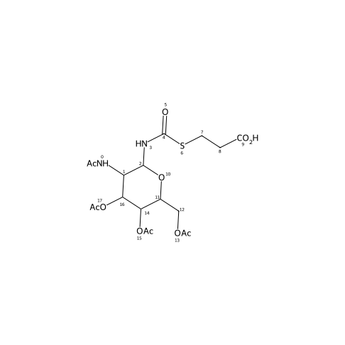 CC(=O)NC1C(NC(=O)SCCC(=O)O)OC(COC(C)=O)C(OC(C)=O)C1OC(C)=O